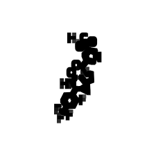 CS(=O)(=O)c1cncc(C(=O)N2CCC[C@@H]2C(=O)NC(c2ccc(C(F)(F)F)cc2F)C2CC2)c1